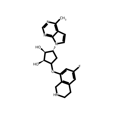 Cc1ncnc2c1ccn2[C@@H]1CC(Oc2cc(F)cc3c2CNCC3)[C@@H](O)[C@H]1O